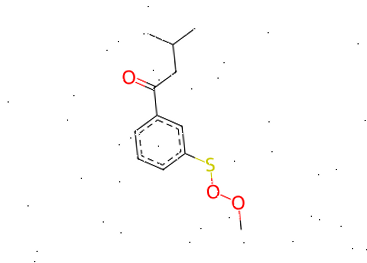 COOSc1cccc(C(=O)CC(C)C)c1